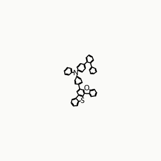 c1ccc(-c2ccccc2-c2ccc(N(c3ccccc3)c3ccc(-c4cc5c6ccccc6sc5c5c4oc4ccccc45)cc3)cc2)cc1